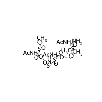 CC(=O)N[C@@H](CSC(C)(C)c1cccc(CCOC(=O)[C@H](CSC(=O)C2CSC(OCCOC(=O)[C@H](CSC(=O)c3ccc(C)cc3)NC(C)=O)N2)NC(C)=O)c1)C(N)=O